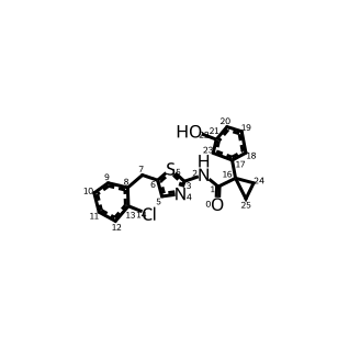 O=C(Nc1ncc(Cc2ccccc2Cl)s1)C1(c2cccc(O)c2)CC1